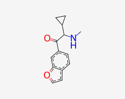 CNC(C(=O)c1ccc2ccoc2c1)C1CC1